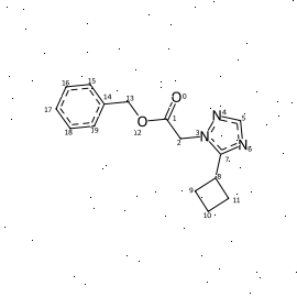 O=C(Cn1ncnc1C1CCC1)OCc1ccccc1